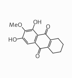 COc1c(O)cc2c(c1O)C(=O)C1=C(CCCC1)C2=O